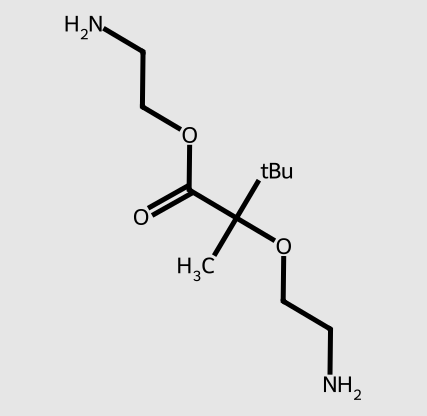 CC(C)(C)C(C)(OCCN)C(=O)OCCN